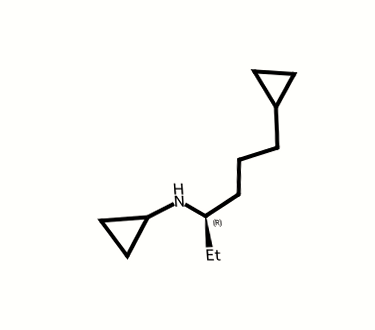 CC[C@H](CCCC1CC1)NC1CC1